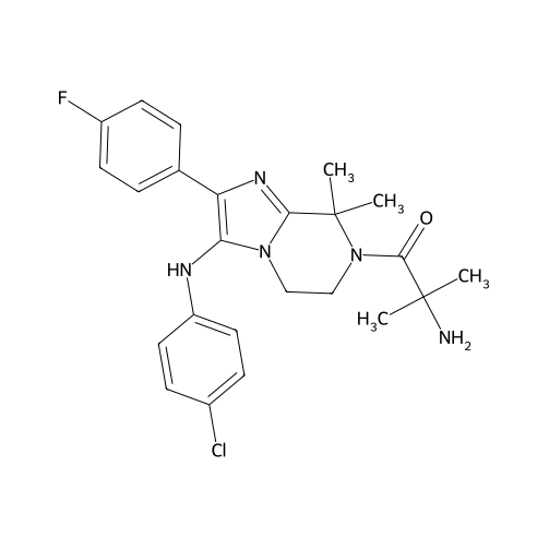 CC(C)(N)C(=O)N1CCn2c(nc(-c3ccc(F)cc3)c2Nc2ccc(Cl)cc2)C1(C)C